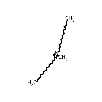 CCCCCCCCCCCCCCCCN1C=CN(CCCCCCCCCCCCCC)C1C